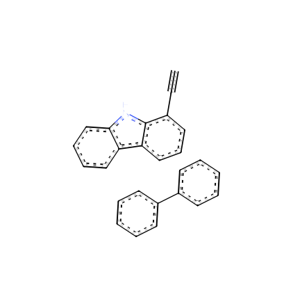 C#Cc1cccc2c1[nH]c1ccccc12.c1ccc(-c2ccccc2)cc1